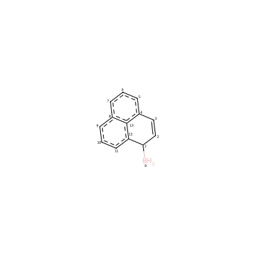 BC1C=Cc2cccc3cccc1c23